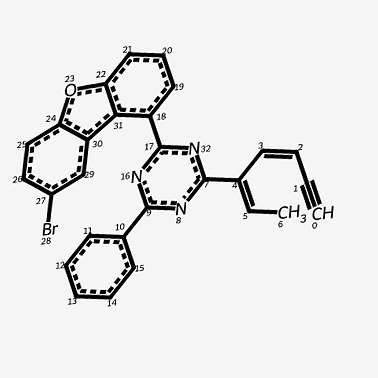 C#C/C=C\C(=C/C)c1nc(-c2ccccc2)nc(-c2cccc3oc4ccc(Br)cc4c23)n1